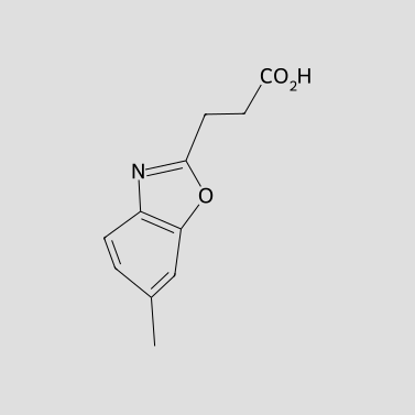 Cc1ccc2nc(CCC(=O)O)oc2c1